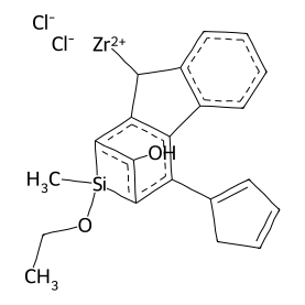 CCO[Si]1(C)c2c(O)c1c1c(c2C2=CC=CC2)-c2ccccc2[CH]1[Zr+2].[Cl-].[Cl-]